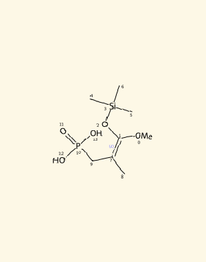 CO/C(O[Si](C)(C)C)=C(\C)CP(=O)(O)O